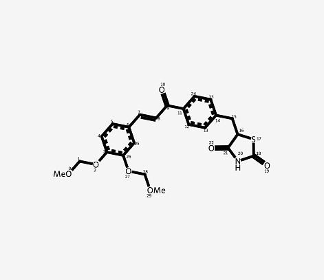 COCOc1ccc(C=CC(=O)c2ccc(CC3SC(=O)NC3=O)cc2)cc1OCOC